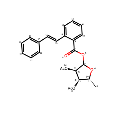 CC(=O)O[C@@H]1[C@@H](C)OC(OC(=O)c2ccccc2C=Cc2ccccc2)[C@@H]1OC(C)=O